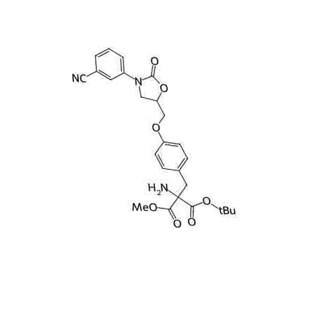 COC(=O)C(N)(Cc1ccc(OCC2CN(c3cccc(C#N)c3)C(=O)O2)cc1)C(=O)OC(C)(C)C